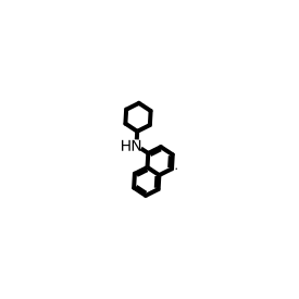 [c]1ccc(NC2CCCCC2)c2ccccc12